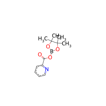 CC1(C)OB(OC(=O)c2ccccn2)OC1(C)C